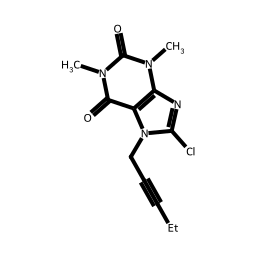 CCC#CCn1c(Cl)nc2c1c(=O)n(C)c(=O)n2C